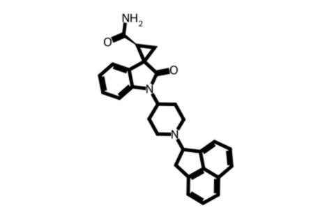 NC(=O)[C@H]1CC12C(=O)N(C1CCN(C3Cc4cccc5cccc3c45)CC1)c1ccccc12